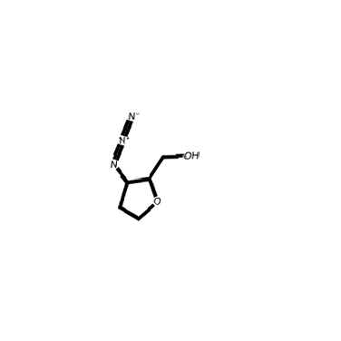 [N-]=[N+]=NC1CCOC1CO